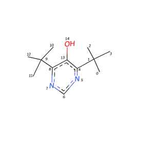 CC(C)(C)c1ncnc(C(C)(C)C)c1O